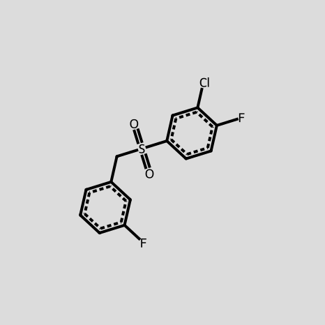 O=S(=O)(Cc1cccc(F)c1)c1ccc(F)c(Cl)c1